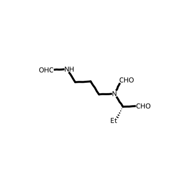 CC[C@@H](C=O)N(C=O)CCCNC=O